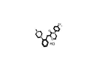 CN1CCN(c2ccccc2CC2OCCN(c3ccc(C(F)(F)F)cc3)C2=O)CC1.Cl